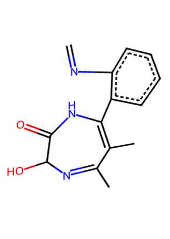 C=Nc1ccccc1C1=C(C)C(C)=NC(O)C(=O)N1